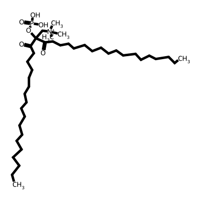 CCCCCCCCCCCCCCCCCC(=O)C(C[N+](C)(C)C)(OP(=O)(O)O)C(=O)CCCCCCCCCCCCCCCCC